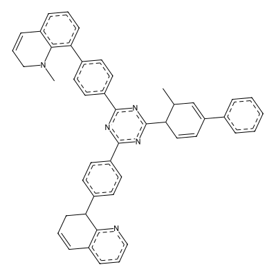 CC1C=C(c2ccccc2)C=CC1c1nc(-c2ccc(-c3cccc4c3N(C)CC=C4)cc2)nc(-c2ccc(C3CC=Cc4cccnc43)cc2)n1